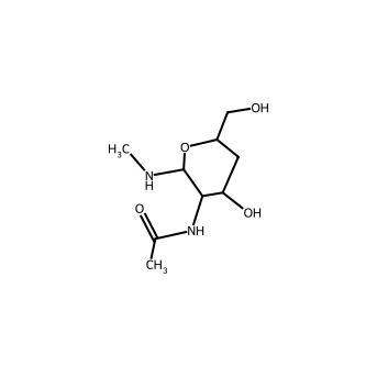 CNC1OC(CO)CC(O)C1NC(C)=O